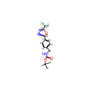 CC(C)(C)OC(=O)NCc1ccc(-c2nnc(C(F)F)o2)cc1